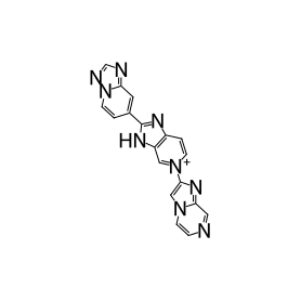 c1cn2cc(-[n+]3ccc4nc(-c5ccn6ncnc6c5)[nH]c4c3)nc2cn1